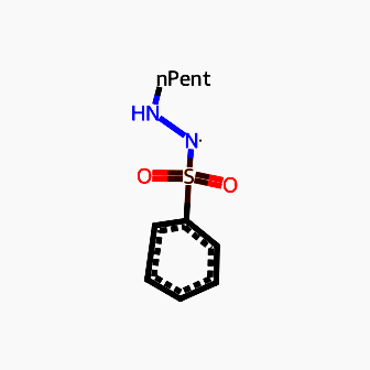 CCCCCN[N]S(=O)(=O)c1ccccc1